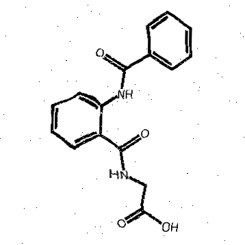 O=C(O)CNC(=O)c1ccccc1NC(=O)c1ccccc1